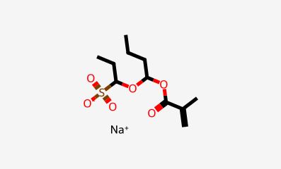 C=C(C)C(=O)OC(CCC)OC(CC)S(=O)(=O)[O-].[Na+]